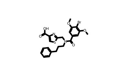 COc1cc(C(=O)N(CCCc2ccccc2)Cc2nc(C(=O)O)cs2)cc(OC)c1Br